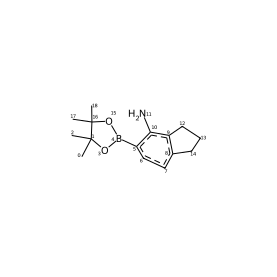 CC1(C)OB(c2ccc3c(c2N)CCC3)OC1(C)C